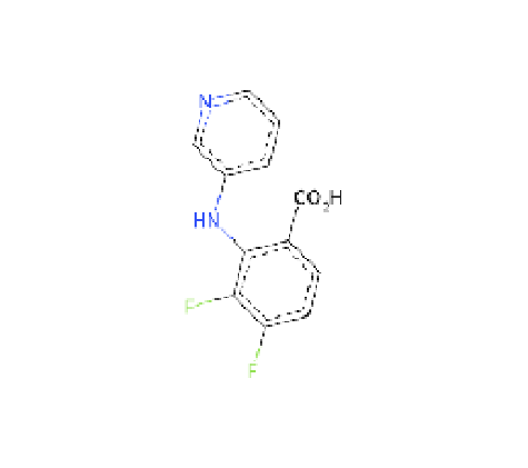 O=C(O)c1ccc(F)c(F)c1Nc1cccnc1